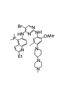 CCc1ccc2c(P(C)C)c(Nc3nc(Nc4cc(C)c(N5CCC(N6CCN(C)CC6)CC5)cc4OC)ncc3Br)ccc2n1